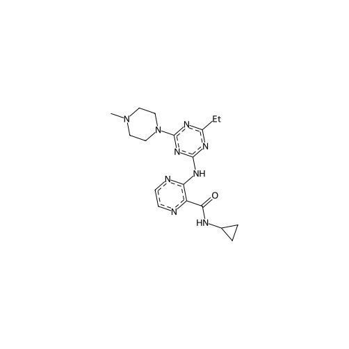 CCc1nc(Nc2nccnc2C(=O)NC2CC2)nc(N2CCN(C)CC2)n1